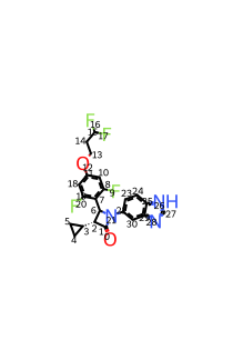 O=C1[C@H](C2CC2)C(c2c(F)cc(OCCC(F)F)cc2F)N1c1ccc2[nH]cnc2c1